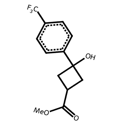 COC(=O)C1CC(O)(c2ccc(C(F)(F)F)cc2)C1